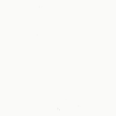 CCCCC1(C#N)CCC(c2ccc(C3OCC(CC)CO3)cc2)CC1